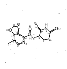 Cc1cnc(C(=O)NC2CCC(=O)NC2=O)c2c1OCO2